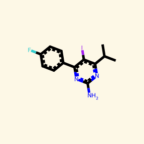 CC(C)c1nc(N)nc(-c2ccc(F)cc2)c1I